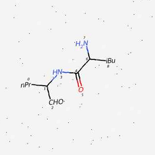 CCCC([C]=O)NC(=O)C(N)C(C)CC